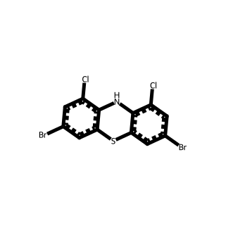 Clc1cc(Br)cc2c1Nc1c(Cl)cc(Br)cc1S2